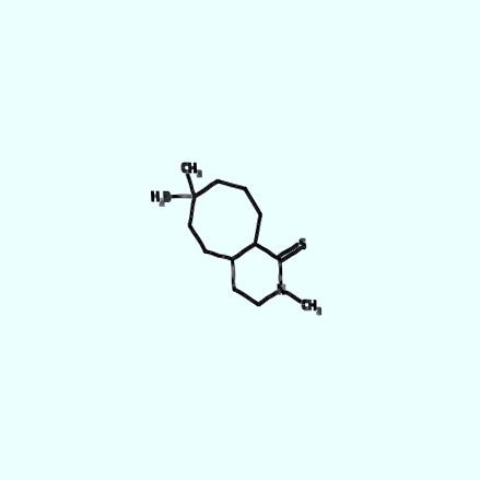 BC1(C)CCCC2C(=S)N(C)CCC2CC1